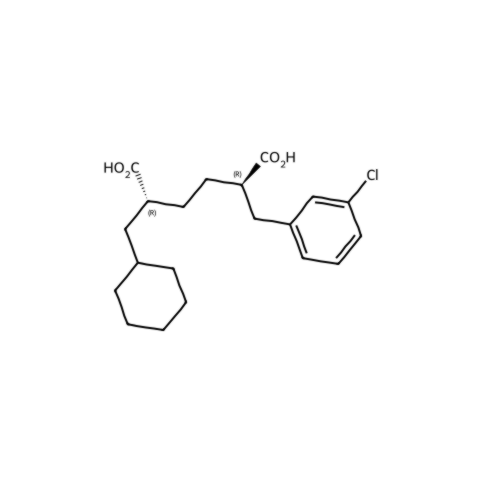 O=C(O)[C@H](CC[C@H](CC1CCCCC1)C(=O)O)Cc1cccc(Cl)c1